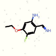 CCOc1cc(N)c(C=N)cc1F